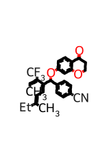 C\C=C(/C(=C\C=C(/C)CC)C(Oc1ccc2c(c1)OCCC2=O)c1ccc(C#N)cc1)C(F)(F)F